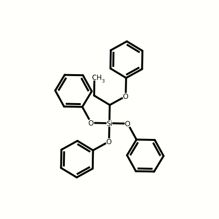 CCC(Oc1ccccc1)[Si](Oc1ccccc1)(Oc1ccccc1)Oc1ccccc1